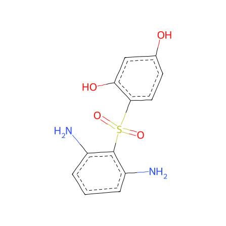 Nc1cccc(N)c1S(=O)(=O)c1ccc(O)cc1O